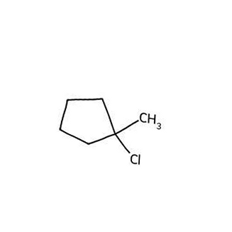 CC1(Cl)CCCC1